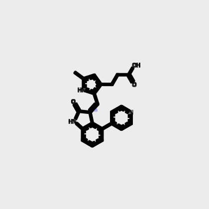 Cc1cc(CCC(=O)O)c(/C=C2\C(=O)Nc3cccc(-c4ccncc4)c32)[nH]1